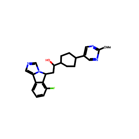 COc1ncc(C2CCC(C(O)CC3c4c(F)cccc4-c4cncn43)CC2)cn1